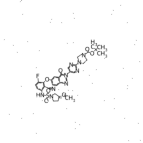 CO[C@@H]1CCN(S(=O)(=O)Nc2ccc(F)c(Oc3ccc4ncn(-c5cnc(N6CCN(C(=O)OC(C)(C)C)CC6)nc5)c(=O)c4c3)c2C#N)C1